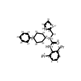 CC(C)c1cccc(C(C)C)c1NC(=O)N(Cc1nccs1)[C@H]1CC[C@H](c2ccccc2)CC1